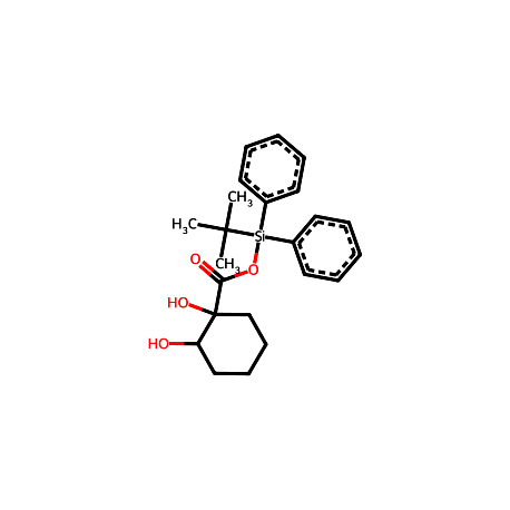 CC(C)(C)[Si](OC(=O)C1(O)CCCCC1O)(c1ccccc1)c1ccccc1